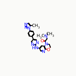 Cc1cnnn1-c1ccc(-c2cnc(Nc3cnc4c(c3)N(C(=O)CN(C)C)CCO4)nc2)cc1